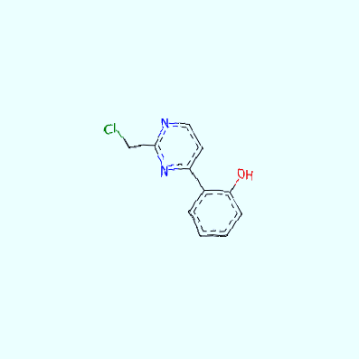 Oc1ccccc1-c1ccnc(CCl)n1